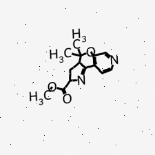 COC(=O)C1CC2C(=N1)c1ccncc1OC2(C)C